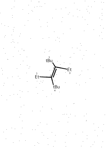 CCC(=C(CC)C(C)(C)C)C(C)(C)C